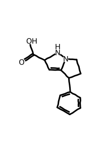 O=C(O)C1C=C2C(c3ccccc3)CCN2N1